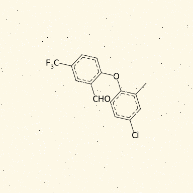 Cc1cc(Cl)ccc1Oc1ccc(C(F)(F)F)cc1C=O